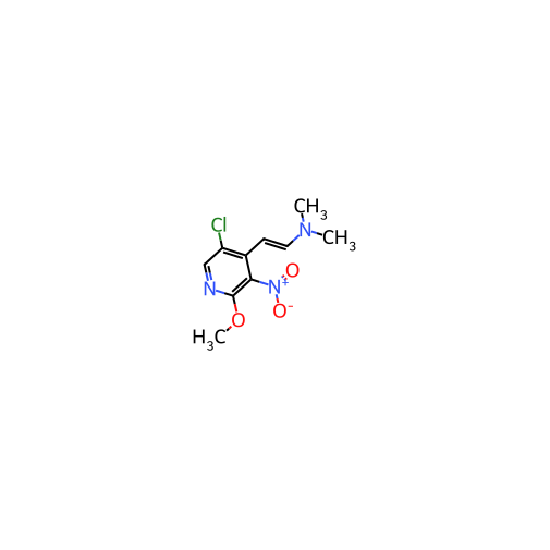 COc1ncc(Cl)c(C=CN(C)C)c1[N+](=O)[O-]